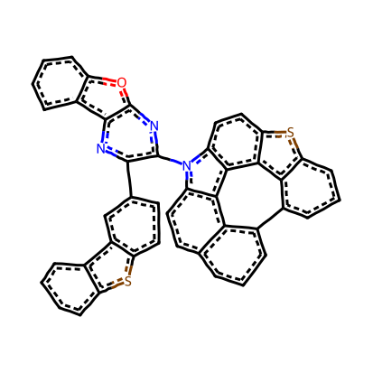 c1cc2c3c(c1)ccc1c3c3c4c(ccc3n1-c1nc3oc5ccccc5c3nc1-c1ccc3sc5ccccc5c3c1)sc1cccc-2c14